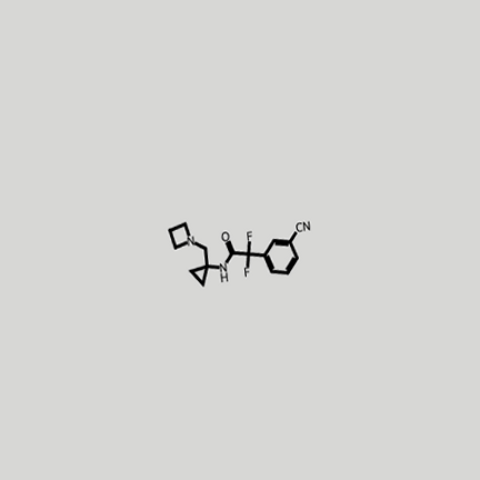 N#Cc1cccc(C(F)(F)C(=O)NC2(CN3CCC3)CC2)c1